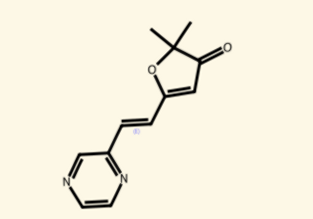 CC1(C)OC(/C=C/c2cnccn2)=CC1=O